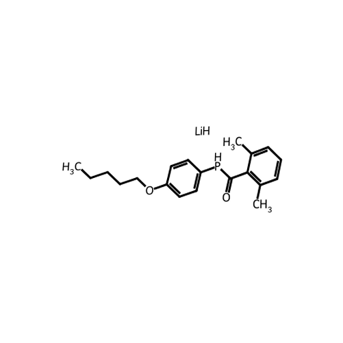 CCCCCOc1ccc(PC(=O)c2c(C)cccc2C)cc1.[LiH]